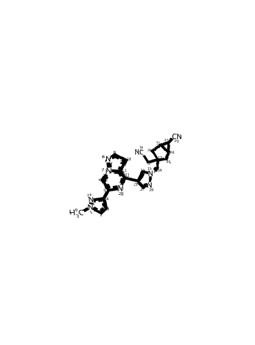 Cn1ccc(-c2cn3nccc3c(C3=C/[N+](=C\C4(CC#N)CC5C(C#N)C5C4)N=C3)n2)n1